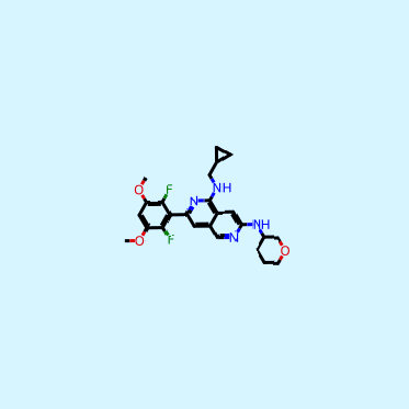 COc1cc(OC)c(F)c(-c2cc3cnc(NC4CCCOC4)cc3c(NCC3CC3)n2)c1F